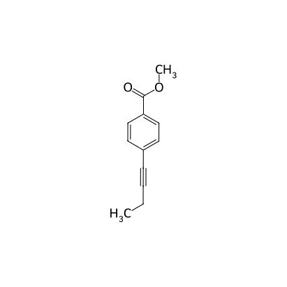 CCC#Cc1ccc(C(=O)OC)cc1